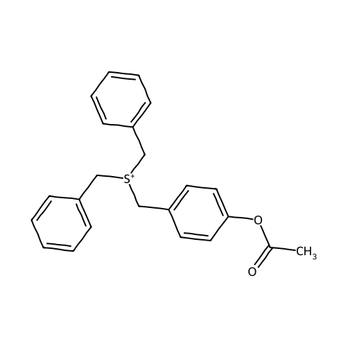 CC(=O)Oc1ccc(C[S+](Cc2ccccc2)Cc2ccccc2)cc1